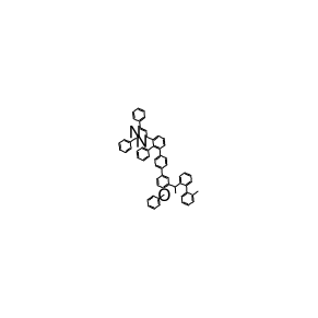 Cc1ccccc1-c1ccccc1C(C)c1cc(-c2ccc(-c3cccc(-c4cc(-c5ccccc5)nc(-c5ccccc5)n4)c3-c3ccccc3)cc2)ccc1Oc1ccccc1